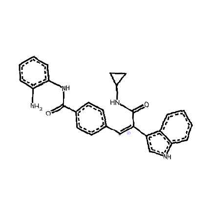 Nc1ccccc1NC(=O)c1ccc(/C=C(\C(=O)NC2CC2)c2c[nH]c3ccccc23)cc1